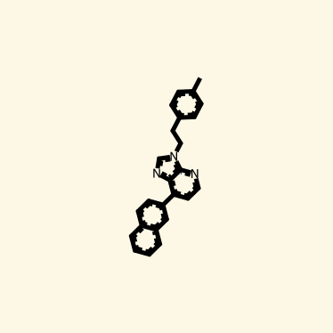 Cc1ccc(CCn2cnc3c(-c4ccc5ccccc5c4)ccnc32)cc1